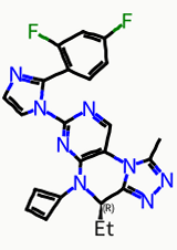 CC[C@@H]1c2nnc(C)n2-c2cnc(-n3ccnc3-c3ccc(F)cc3F)nc2N1C1=CC=C1